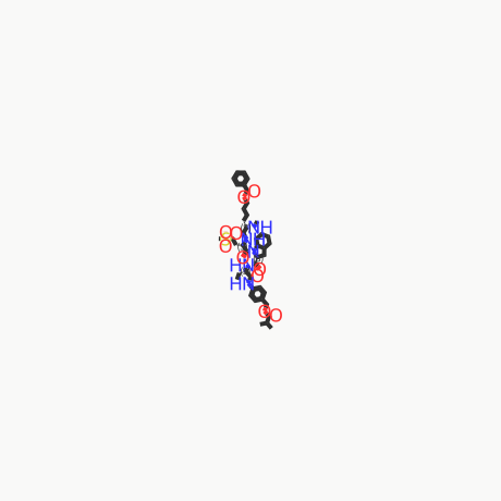 CC[C@H](NC(=O)[C@@H]1CC2CCCCC2N1C(=O)[C@H](CCS(C)(=O)=O)NC(=O)[C@H](CCCCOC(=O)c1ccccc1)NC)C(=O)Nc1ccc(COC(=O)C(C)C)cc1